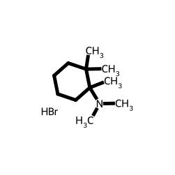 Br.CN(C)C1(C)CCCCC1(C)C